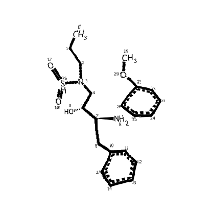 CCCN(C[C@@H](O)[C@@H](N)Cc1ccccc1)[SH](=O)=O.COc1ccccc1